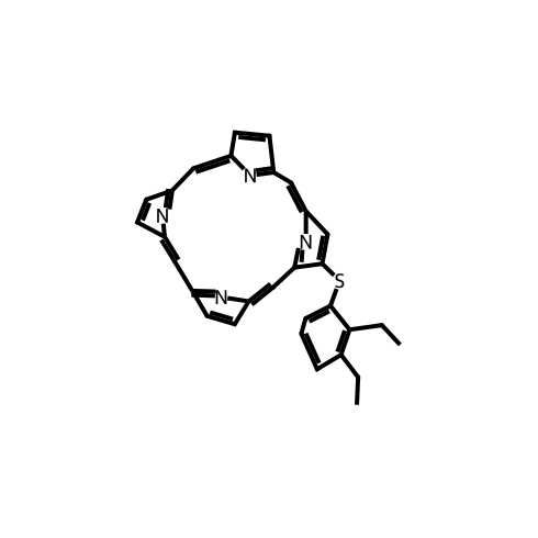 CCc1cccc(SC2=CC3=CC4=NC(=CC5=NC(=CC6=NC(=CC2=N3)C=C6)C=C5)C=C4)c1CC